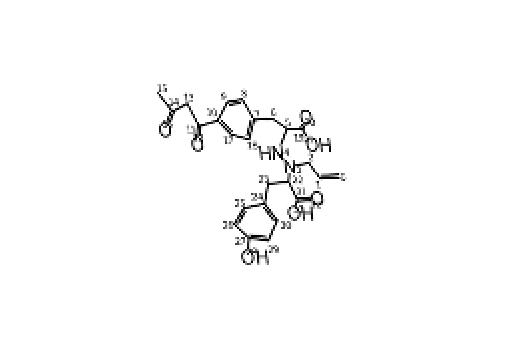 C=CCN(NC(Cc1ccc(C(=O)CC(C)=O)cc1)C(=O)O)C(Cc1ccc(O)cc1)C(=O)O